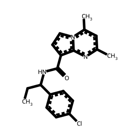 CCC(NC(=O)c1ccn2c(C)cc(C)nc12)c1ccc(Cl)cc1